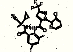 Cc1cc(I)cc(C(=O)NC(C)(C#N)C2CC2)c1NC(=O)c1cc(C(F)(F)F)nn1-c1ncccc1Cl